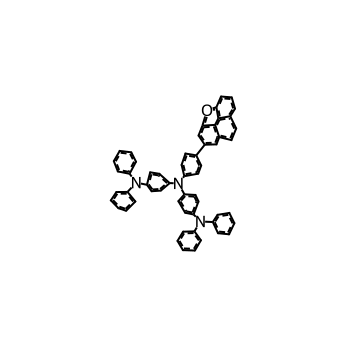 c1ccc(N(c2ccccc2)c2ccc(N(c3ccc(-c4cc5ccc6cccc7oc(c4)c5c67)cc3)c3ccc(N(c4ccccc4)c4ccccc4)cc3)cc2)cc1